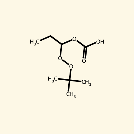 CCC(OOC(C)(C)C)OC(=O)O